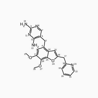 COc1cc(Cc2cnc(N)nc2N)c2cc(Cc3ccccn3)oc2c1OC